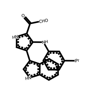 CC(C)c1cccc(Nc2c(-c3c[nH]c4ccccc34)c[nH]c2C(=O)C=O)c1